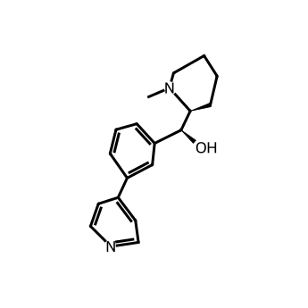 CN1CCCC[C@H]1[C@@H](O)c1cccc(-c2ccncc2)c1